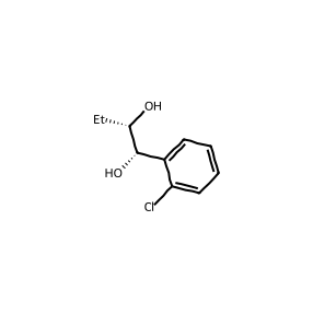 CC[C@H](O)[C@@H](O)c1ccccc1Cl